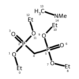 CCOP(=O)(CP(=O)(OCC)OCC)OCC.CNC